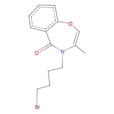 CC1=COc2ccccc2C(=O)N1CCCCBr